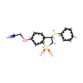 N#CCOc1ccc2c(c1)S(=O)(=O)CC2Sc1ccccc1